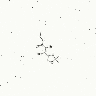 CCOC(=O)C(Br)C(O)C1COC(C)(C)O1